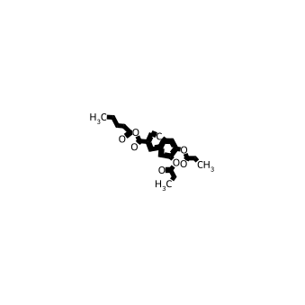 CCCCC(=O)OC(=O)c1ccc2cc(OC(=O)CC)c(OC(=O)CC)cc2c1